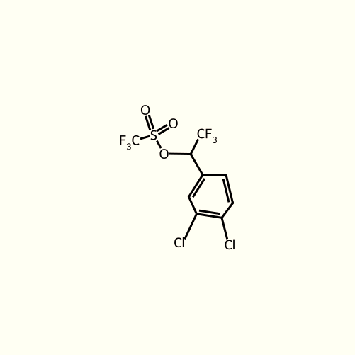 O=S(=O)(OC(c1ccc(Cl)c(Cl)c1)C(F)(F)F)C(F)(F)F